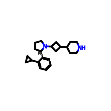 c1ccc([C@@H]2CCCN2C2CC(C3CCNCC3)C2)c(C2CC2)c1